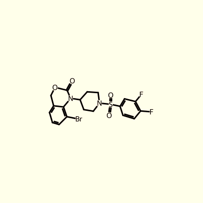 O=C1OCc2cccc(Br)c2N1C1CCN(S(=O)(=O)c2ccc(F)c(F)c2)CC1